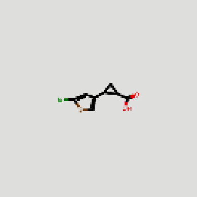 O=C(O)C1CC1c1csc(Br)c1